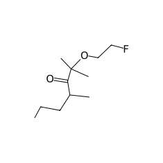 CCCC(C)C(=O)C(C)(C)OCCF